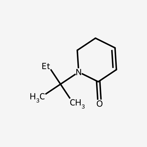 CCC(C)(C)N1CCC=CC1=O